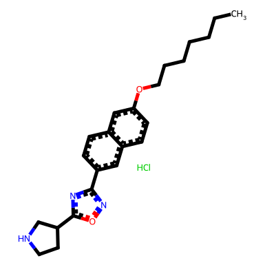 CCCCCCCOc1ccc2cc(-c3noc(C4CCNC4)n3)ccc2c1.Cl